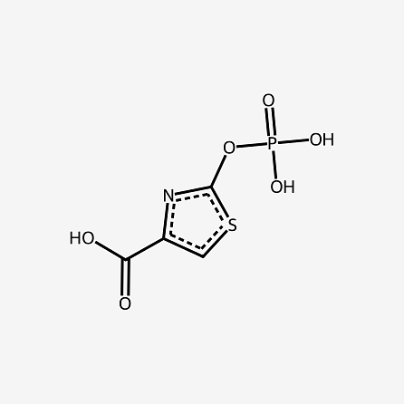 O=C(O)c1csc(OP(=O)(O)O)n1